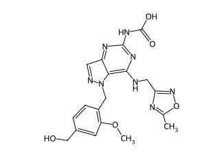 COc1cc(CO)ccc1Cn1ncc2nc(NC(=O)O)nc(NCc3noc(C)n3)c21